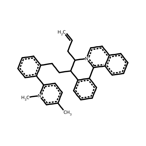 C=CCC1C(CCc2ccccc2-c2ccc(C)c[n+]2C)c2ccccc2-c2c3ccccc3cc[n+]21